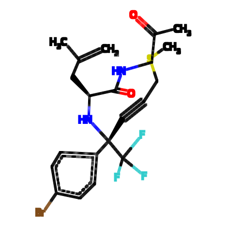 C=C(C)C[C@H](N[C@@](C#CCSC)(c1ccc(Br)cc1)C(F)(F)F)C(=O)NCC(C)=O